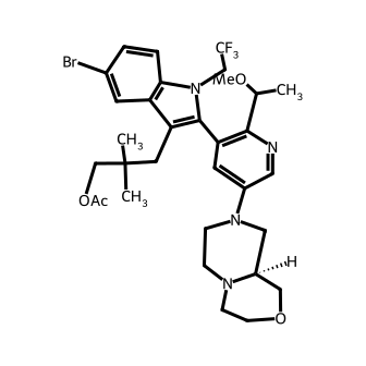 COC(C)c1ncc(N2CCN3CCOC[C@@H]3C2)cc1-c1c(CC(C)(C)COC(C)=O)c2cc(Br)ccc2n1CC(F)(F)F